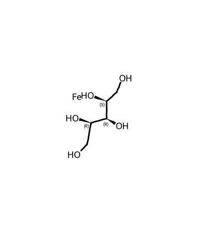 OC[C@@H](O)[C@H](O)[C@@H](O)CO.[Fe]